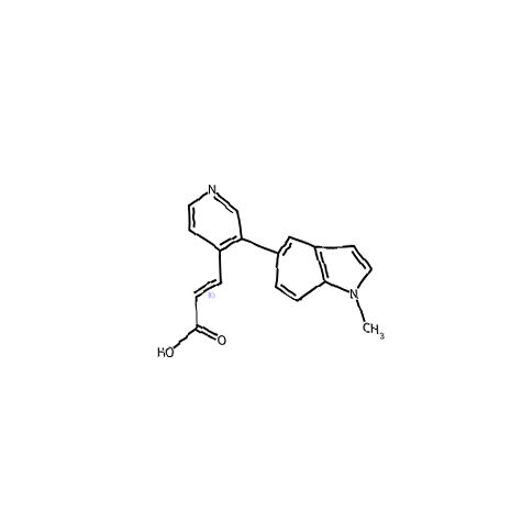 Cn1ccc2cc(-c3cnccc3/C=C/C(=O)O)ccc21